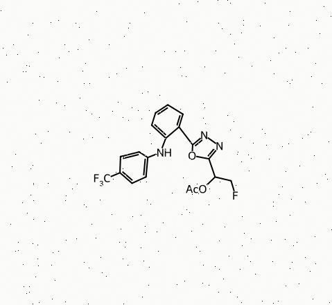 CC(=O)OC(CF)c1nnc(-c2ccccc2Nc2ccc(C(F)(F)F)cc2)o1